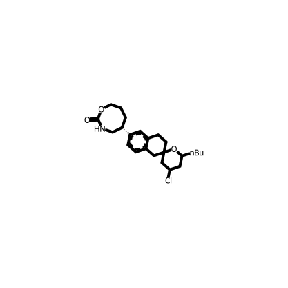 CCCCC1CC(Cl)CC2(CCc3cc([C@H]4CCCOC(=O)NC4)ccc3C2)O1